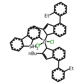 CCCCC1=Cc2c(-c3ccccc3CC)cccc2[CH]1[Zr]([Cl])([Cl])([c]1cccc2c1[SiH2]c1ccccc1-2)[CH]1C(CCCC)=Cc2c(-c3ccccc3CC)cccc21